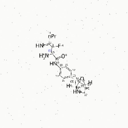 CCCC(=N)/C(F)=C(\N)C(=O)Nc1ccc([C@@H]2O[C@H]3CN[C@@H]2C3)cc1